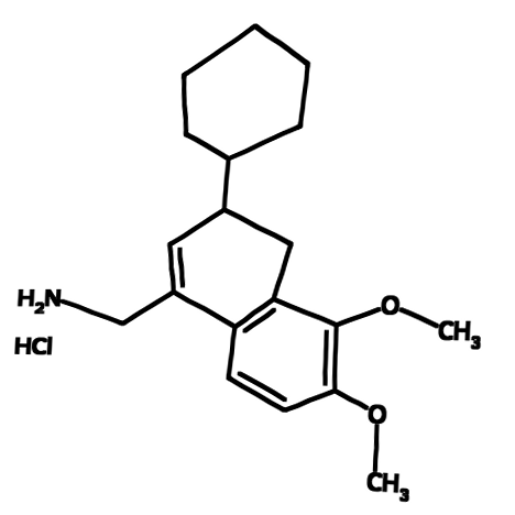 COc1ccc2c(c1OC)CC(C1CCCCC1)C=C2CN.Cl